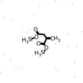 C=C(CC(=O)O[SiH3])C(=O)O[SiH3]